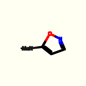 C[N]c1ccno1